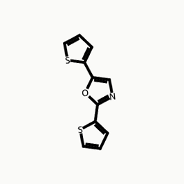 c1csc(-c2cnc(-c3cccs3)o2)c1